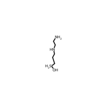 NCCNCCC[SiH2]O